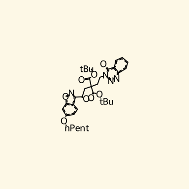 CCCCCOc1ccc2c(C(=O)CC(CCn3nnc4ccccc4c3=O)(C(=O)OC(C)(C)C)C(=O)OC(C)(C)C)noc2c1